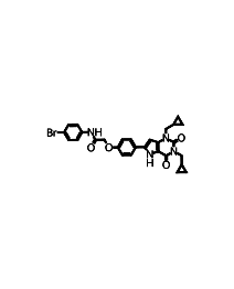 O=C(COc1ccc(-c2cc3c([nH]2)c(=O)n(CC2CC2)c(=O)n3CC2CC2)cc1)Nc1ccc(Br)cc1